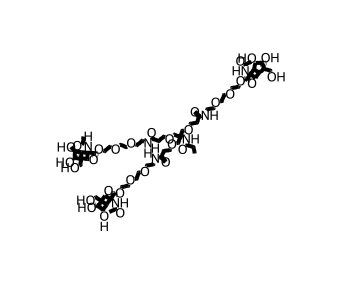 CCC(=O)NC(COCCC(=O)NCCOCCOCCO[C@@H]1OC2C3C(CO)[C@H](O)C(O)C3C21NC(C)=O)(COCCC(=O)NCCOCCOCCO[C@@H]1OC2C3(CO)C(C(O)[C@H]3O)C21NC(C)=O)COCCC(=O)NCCOCCOCCO[C@@H]1OC2C3(CO)C(C(O)[C@H]3O)C21NC(C)=O